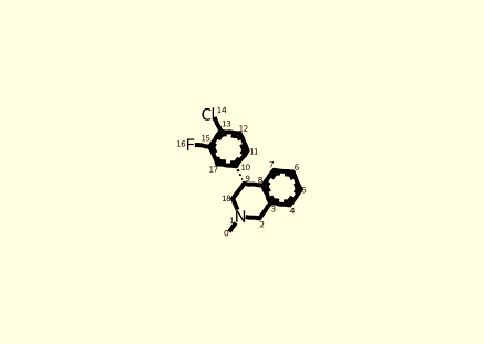 CN1Cc2ccccc2[C@@H](c2ccc(Cl)c(F)c2)C1